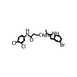 CC(NCCCC(=O)Nc1ccc(Cl)c(Cl)c1)c1cc2cc(Br)ccc2[nH]1